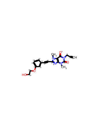 C#CCn1c(=O)c2c(nc(C#Cc3cccc(OCCO)c3)n2C)n(C)c1=O